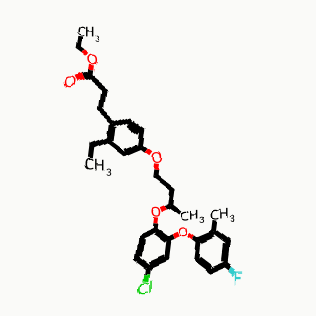 CCOC(=O)CCc1ccc(OCCC(C)Oc2ccc(Cl)cc2Oc2ccc(F)cc2C)cc1CC